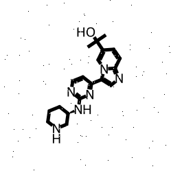 CC(C)(O)c1ccc2ncc(-c3ccnc(N[C@@H]4CCCNC4)n3)n2c1